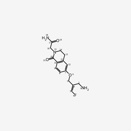 NC/C(=C\F)COc1ccc2c(c1)CCN(CC(N)=O)C2=O